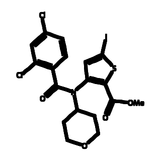 COC(=O)c1sc(I)cc1N(C(=O)c1ccc(Cl)cc1Cl)C1CCOCC1